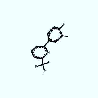 Cc1cc(-c2cccc(C(F)(F)F)n2)ccc1F